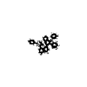 c1ccc(-c2ncc(-n3c4ccccc4c4c5c6ccccc6n(-c6ccccc6)c5c5ccccc5c43)c(-c3ccccc3)n2)cc1